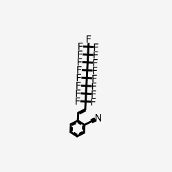 N#Cc1ccccc1/C=C/C(F)(F)C(F)(F)C(F)(F)C(F)(F)C(F)(F)C(F)(F)C(F)(F)C(F)(F)F